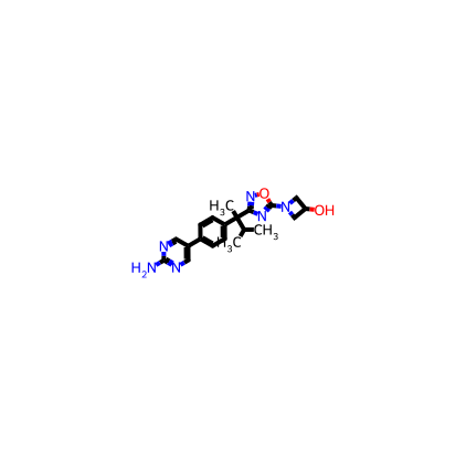 CC(C)C(C)(c1ccc(-c2cnc(N)nc2)cc1)c1noc(N2CC(O)C2)n1